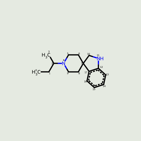 CCC(C)N1CCC2(CC1)CNc1ccccc12